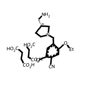 CCOc1cc(C#N)c(Cl)cc1CN1CC[C@H](CN)C1.O=C(O)CCC(=O)O.O=C(O)CCC(=O)O